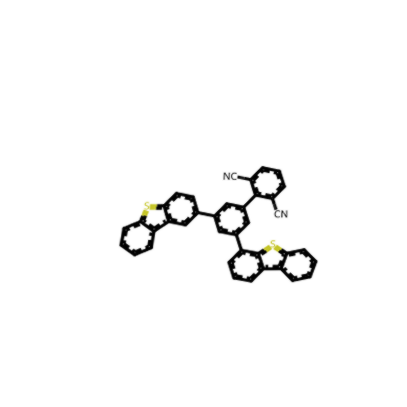 N#Cc1cccc(C#N)c1-c1cc(-c2ccc3sc4ccccc4c3c2)cc(-c2cccc3c2sc2ccccc23)c1